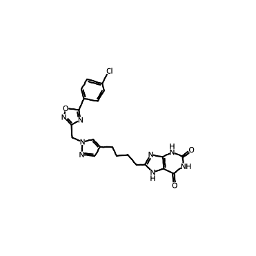 O=c1[nH]c(=O)c2[nH]c(CCCCc3cnn(Cc4noc(-c5ccc(Cl)cc5)n4)c3)nc2[nH]1